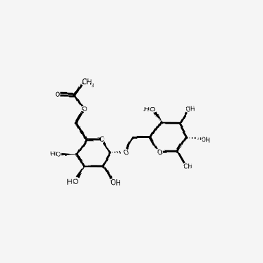 CC(=O)OCC1O[C@H](OCC2OC(O)[C@@H](O)C(O)[C@@H]2O)C(O)[C@@H](O)[C@H]1O